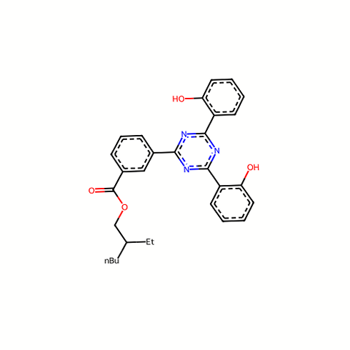 CCCCC(CC)COC(=O)c1cccc(-c2nc(-c3ccccc3O)nc(-c3ccccc3O)n2)c1